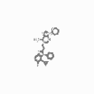 NC1c2ncn([C@@H]3CCCCO3)c2N=CN1CCc1nc2ccc(F)c(C3CC3)c2n1-c1ccccc1